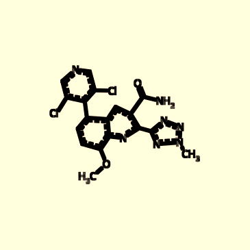 COc1ccc(-c2c(Cl)cncc2Cl)c2cc(C(N)=O)c(-c3nnn(C)n3)nc12